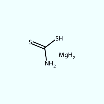 NC(=S)S.[MgH2]